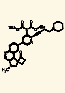 CN1CC2(CCC2=O)c2c1cnc1ccc(-c3cnc(C#CCCN4CCCCC4)c(N(C(=O)OC(C)(C)C)C(=O)OC(C)(C)C)c3)cc21